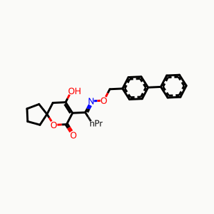 CCCC(=NOCc1ccc(-c2ccccc2)cc1)C1=C(O)CC2(CCCC2)OC1=O